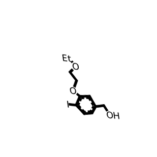 CCOCCOc1cc(CO)ccc1I